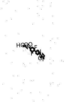 O=C1O[C@@H](CO)CN1c1cc(F)c(-c2ccc(N3CCC(F)C3=O)nc2)c(F)c1